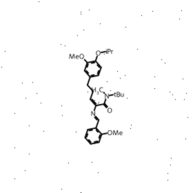 COc1ccccc1/C=N/C(=C/CCc1ccc(OC(C)C)c(OC)c1)C(=O)N(C)C(C)(C)C